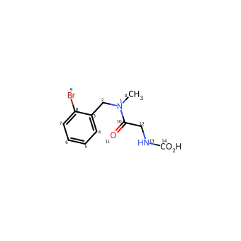 CN(Cc1ccccc1Br)C(=O)CNC(=O)O